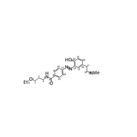 CCOCCCNC(=O)c1ccc(/N=N/c2cc(CCNC)ccc2O)cc1